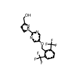 OCc1ccn(-c2ncc(OCc3c(C(F)(F)F)cccc3C(F)(F)F)cn2)n1